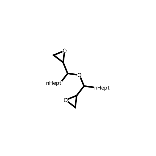 CCCCCCCC(OC(CCCCCCC)C1CO1)C1CO1